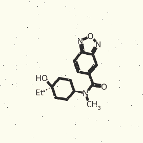 CC[C@]1(O)CC[C@@H](N(C)C(=O)c2ccc3nonc3c2)CC1